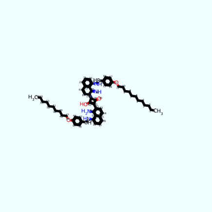 CCCCCCCCCCCCOc1ccc(BNc2cccc3c2C(=N)/C(=C2\C(=O)C(c4ccc5cccc(NBc6ccc(OCCCCCCCCCC)cc6)c5c4N)=C2O)C=C3)cc1